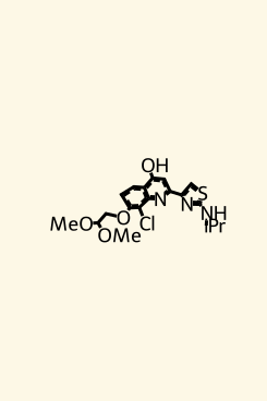 COC(COc1ccc2c(O)cc(-c3csc(NC(C)C)n3)nc2c1Cl)OC